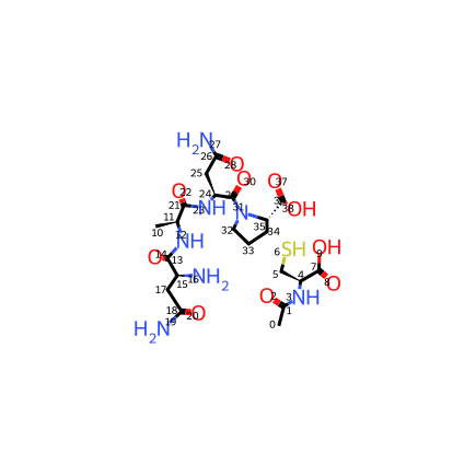 CC(=O)N[C@@H](CS)C(=O)O.C[C@H](NC(=O)[C@@H](N)CC(N)=O)C(=O)N[C@@H](CC(N)=O)C(=O)N1CCC[C@H]1C(=O)O